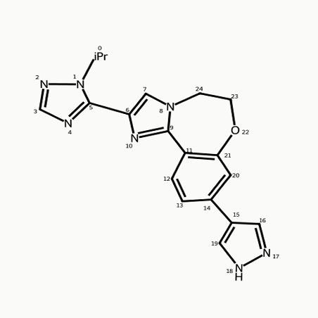 CC(C)n1ncnc1-c1cn2c(n1)-c1ccc(-c3cn[nH]c3)cc1OCC2